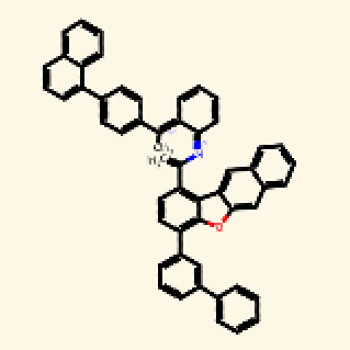 C=C(/N=C1/C=CC=C/C1=C(/C)c1ccc(-c2cccc3ccccc23)cc1)c1ccc(-c2cccc(-c3ccccc3)c2)c2oc3cc4ccccc4cc3c12